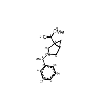 COC(=O)C12CC1CN([C@H](C)c1ccccc1)C2